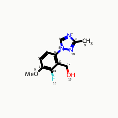 COc1ccc(-n2cnc(C)n2)c(CO)c1F